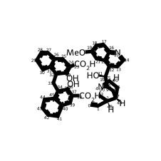 C=C[C@H]1C[N@]2CC[C@H]1C[C@@H]2[C@@H](O)c1ccnc2ccc(OC)cc12.O=C(O)c1cc2ccccc2c(Cc2c(O)c(C(=O)O)cc3ccccc23)c1O